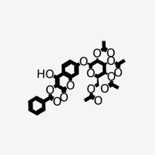 CC(=O)OC[C@H]1O[C@@H](Oc2ccc3c(O)c(OC(=O)c4ccccc4)c(=O)oc3c2)[C@H](OC(C)=O)[C@@H](OC(C)=O)[C@H]1OC(C)=O